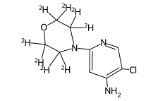 [2H]C1([2H])OC([2H])([2H])C([2H])([2H])N(c2cc(N)c(Cl)cn2)C1([2H])[2H]